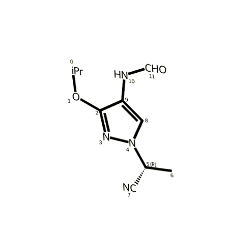 CC(C)Oc1nn([C@H](C)C#N)cc1NC=O